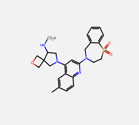 Cc1ccc2nc(N3CCS(=O)(=O)c4ccccc4C3)cc(N3CC(NC(=O)O)C4(COC4)C3)c2c1